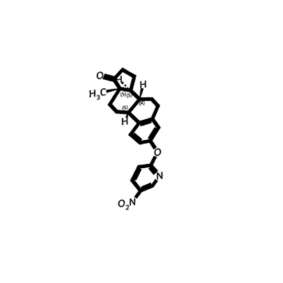 C[C@]12CC[C@@H]3c4ccc(Oc5ccc([N+](=O)[O-])cn5)cc4CC[C@H]3[C@@H]1CCC2=O